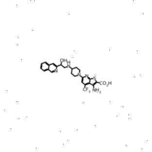 Nc1c(C(=O)O)sc2nc(N3CCC(NCC(O)c4cc5ccccc5cn4)CC3)cc(C(F)(F)F)c12